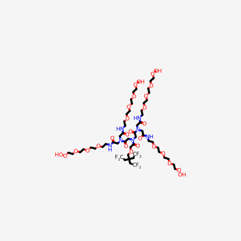 O=C(CN(CC(=O)NCCOCCOCCOCCOO)C(=O)CN(CC(=O)N(CC(=O)NCCOCCOCCOCCOO)CC(=O)NCCOCCOCCOCCOO)C(=O)COCC(CC(F)(F)F)(CC(F)(F)F)CC(F)(F)F)NCCOCCOCCOCCOO